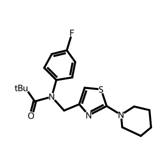 CC(C)(C)C(=O)N(Cc1csc(N2CCCCC2)n1)c1ccc(F)cc1